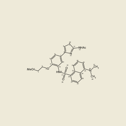 COCCOc1ccc(-c2csc(NC(C)=O)n2)cc1NS(=O)(=O)c1cccc2c(N(C)C)cccc12